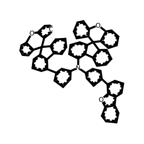 c1cc(-c2cccc3c2-c2ccccc2C32c3ccccc3Oc3ccccc32)cc(N(c2ccc(-c3cccc4c3oc3ccccc34)cc2)c2cccc3c2-c2ccccc2C32c3ccccc3Oc3ccccc32)c1